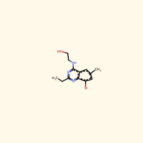 CCc1nc(NCCO)c2cc(C)cc(Br)c2n1